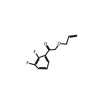 C=CCOCC(=O)c1cccc(F)c1F